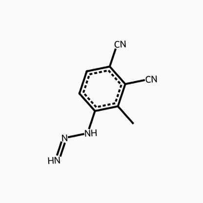 Cc1c(NN=N)ccc(C#N)c1C#N